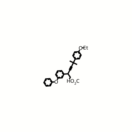 CCOc1ccc(C(C)(C)C#CC(CC(=O)O)c2cccc(Oc3ccccc3)c2)cc1